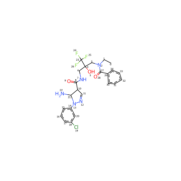 CCN(CC(O)(CNC(=O)C1C=NN(c2cccc(Cl)c2)C1N)C(F)(F)F)C(=O)c1ccccc1